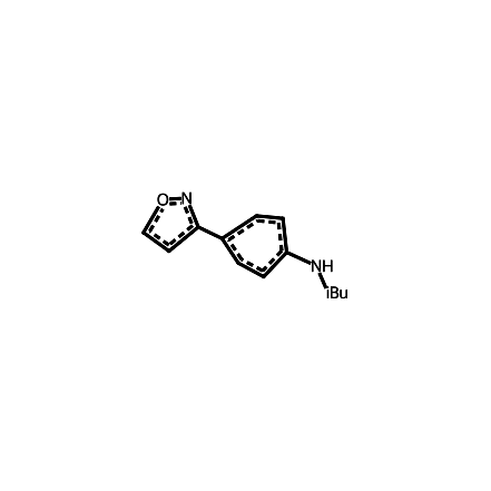 CCC(C)Nc1ccc(-c2ccon2)cc1